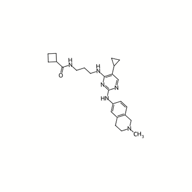 CN1CCc2cc(Nc3ncc(C4CC4)c(NCCCNC(=O)C4CCC4)n3)ccc2C1